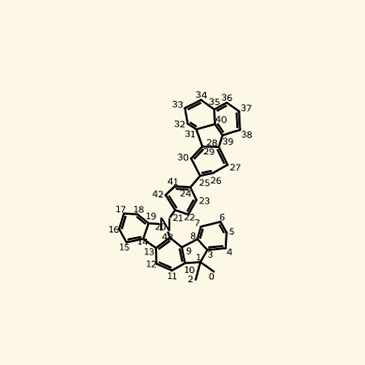 CC1(C)c2ccccc2-c2c1ccc1c3ccccc3n(-c3ccc(-c4ccc5c(c4)-c4cccc6cccc-5c46)cc3)c21